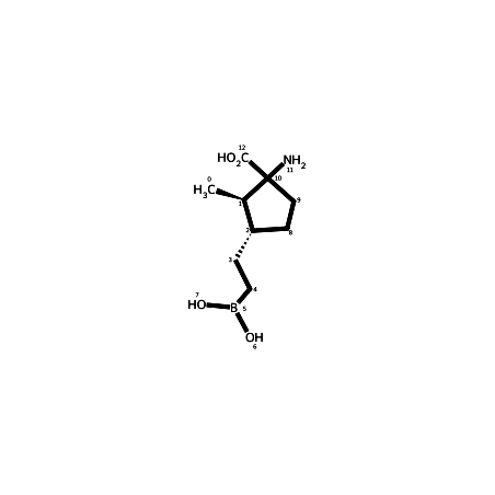 C[C@@H]1[C@@H](CCB(O)O)CCC1(N)C(=O)O